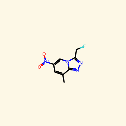 Cc1cc([N+](=O)[O-])cn2c(CF)nnc12